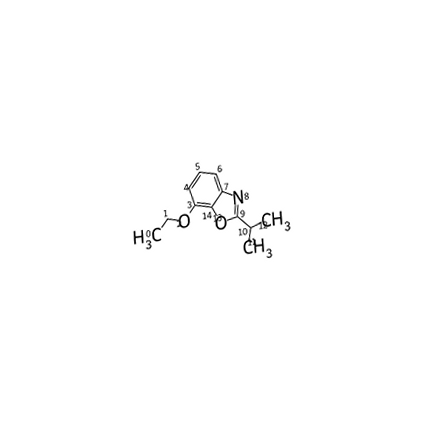 CCOc1cccc2nc(C(C)C)oc12